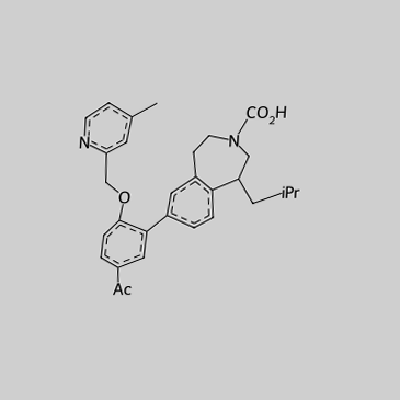 CC(=O)c1ccc(OCc2cc(C)ccn2)c(-c2ccc3c(c2)CCN(C(=O)O)CC3CC(C)C)c1